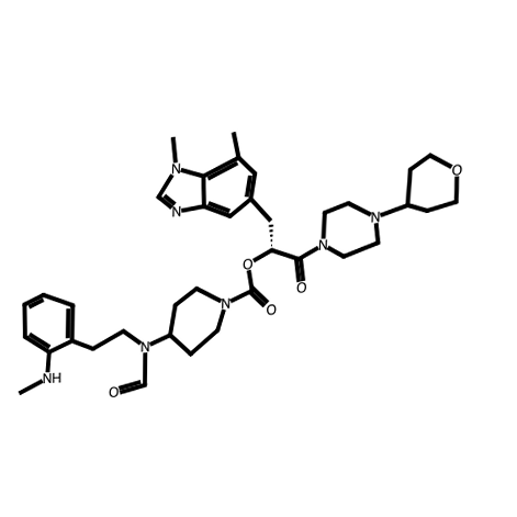 CNc1ccccc1CCN(C=O)C1CCN(C(=O)O[C@H](Cc2cc(C)c3c(c2)ncn3C)C(=O)N2CCN(C3CCOCC3)CC2)CC1